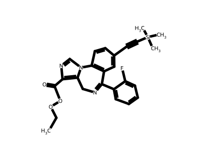 CCOOC(=O)c1ncn2c1CN=C(c1ccccc1F)c1cc(C#C[Si](C)(C)C)ccc1-2